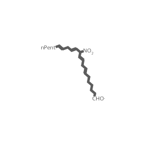 CCCCC/C=C/C/C=C/C(/C=C/C/C=C/CCCCC[C]=O)[N+](=O)[O-]